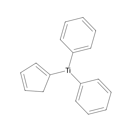 C1=CC[C]([Ti]([c]2ccccc2)[c]2ccccc2)=C1